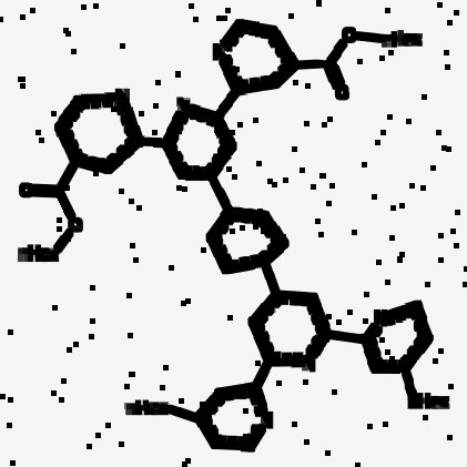 CCCCCCOC(=O)c1ccnc(-c2cc(-c3ccc(-c4cc(-c5cc(CCCCCC)ccn5)nc(-c5cc(CCCCCC)ccn5)c4)cc3)cc(-c3cc(C(=O)OCCCCCC)ccn3)n2)c1